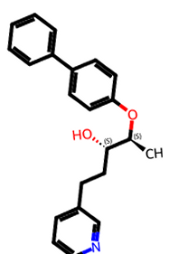 C[C@H](Oc1ccc(-c2ccccc2)cc1)[C@@H](O)CCc1cccnc1